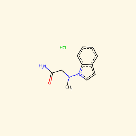 CN(CC(N)=O)n1ccc2ccccc21.Cl